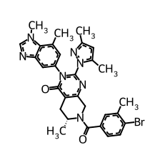 Cc1cc(C)n(-c2nc3c(c(=O)n2-c2cc(C)c4c(c2)ncn4C)C[C@@H](C)N(C(=O)c2ccc(Br)c(C)c2)C3)n1